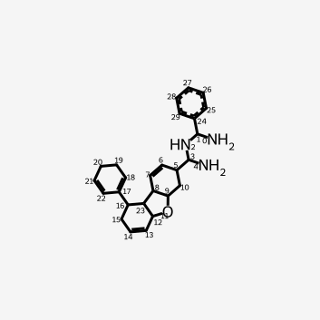 NC(NC(N)C1C=CC2C(C1)OC1C=CCC(C3=CCCC=C3)C12)c1ccccc1